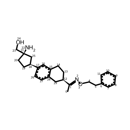 C/C(=N\OCCc1ccccc1)[C@@H]1CCc2cc([C@H]3CC[C@](N)(CO)C3)ccc2C1